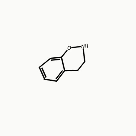 [c]1ccc2c(c1)CCNO2